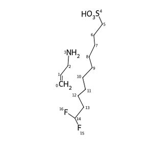 C=CCN.O=S(=O)(O)CCCCCCCCCC(F)F